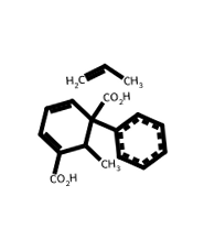 C=CC.CC1C(C(=O)O)=CC=CC1(C(=O)O)c1ccccc1